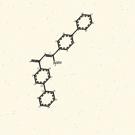 C=C(/C=C(\NC)c1ccc(-c2ccccc2)cc1)c1ccc(-c2ccccc2)cc1